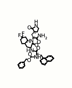 NC(=O)[C@H](C[C@@H]1CCNC1=O)NC(=O)C(CC1CCC(F)(F)CC1)NC(=O)[C@H](Cc1cccc2ccccc12)NC(=O)OCc1ccccc1